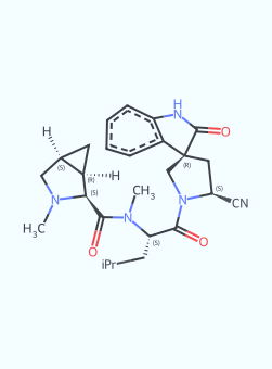 CC(C)C[C@@H](C(=O)N1C[C@]2(C[C@H]1C#N)C(=O)Nc1ccccc12)N(C)C(=O)[C@@H]1[C@@H]2C[C@@H]2CN1C